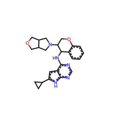 c1ccc2c(c1)OCC(N1CC3COCC3C1)C2Nc1ncnc2[nH]c(C3CC3)cc12